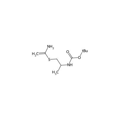 C=C(N)SCC(C)NC(=O)OC(C)(C)C